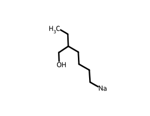 CCC(CO)CCC[CH2][Na]